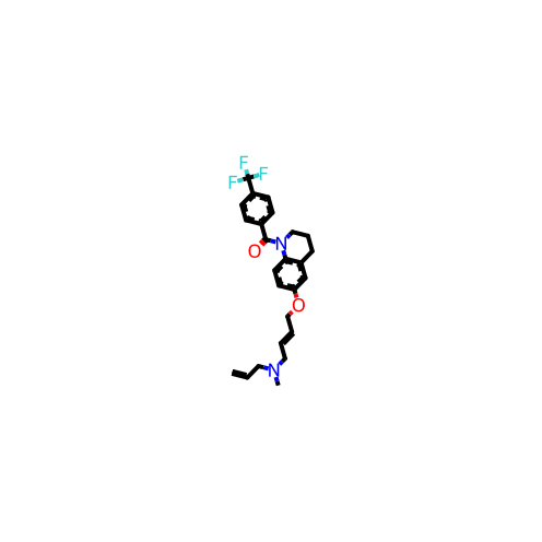 C=CCN(C)C/C=C/COc1ccc2c(c1)CCCN2C(=O)c1ccc(C(F)(F)F)cc1